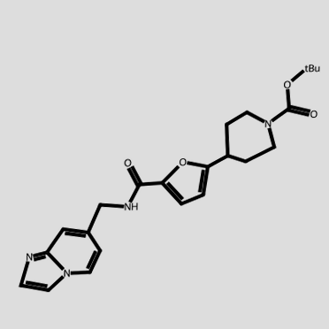 CC(C)(C)OC(=O)N1CCC(c2ccc(C(=O)NCc3ccn4ccnc4c3)o2)CC1